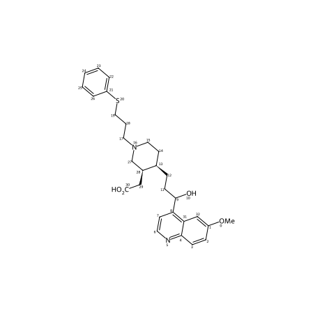 COc1ccc2nccc(C(O)CC[C@@H]3CCN(CCCSc4ccccc4)C[C@@H]3CC(=O)O)c2c1